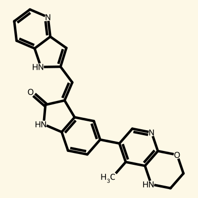 Cc1c(-c2ccc3c(c2)/C(=C/c2cc4ncccc4[nH]2)C(=O)N3)cnc2c1NCCO2